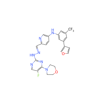 Fc1cnc(N/N=C/c2ccc(Nc3cc(-c4ccoc4)cc(C(F)(F)F)c3)cn2)nc1N1CCOCC1